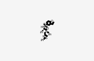 CC(C)C[C@H](NS(=O)(=O)c1ccc2occc2c1)C(=O)N(Cc1csc(C(C)C)n1)CC(C)C